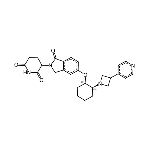 O=C1CCC(N2Cc3cc(O[C@@H]4CCCC[C@@H]4N4CC(c5ccncc5)C4)ccc3C2=O)C(=O)N1